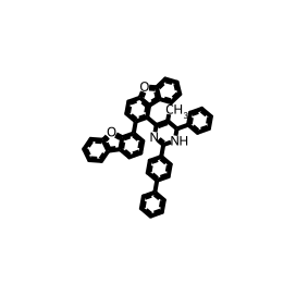 CC1=C(c2c(-c3cccc4c3oc3ccccc34)ccc3oc4ccccc4c23)N=C(c2ccc(-c3ccccc3)cc2)NC1c1ccccc1